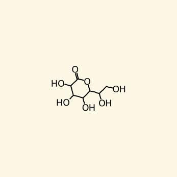 O=C1OC(C(O)CO)C(O)C(O)C1O